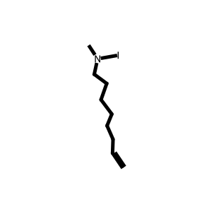 C=CCCCCCCN(C)I